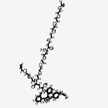 C#CCOCCOCCN(CCOCCOCCOCCNC(=O)CCOCCOCCOCCOCCON=C)C(=O)CCC(=O)N1Cc2ccccc2-c2nnn(-c3ccc(N=C=S)cc3)c2-c2ccccc21